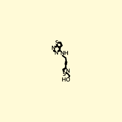 OCc1nc(C#CCCNc2ncnc3sccc23)cs1